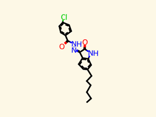 CCCCCCc1ccc2c(c1)NC(=O)/C2=N\NC(=O)c1ccc(Cl)cc1